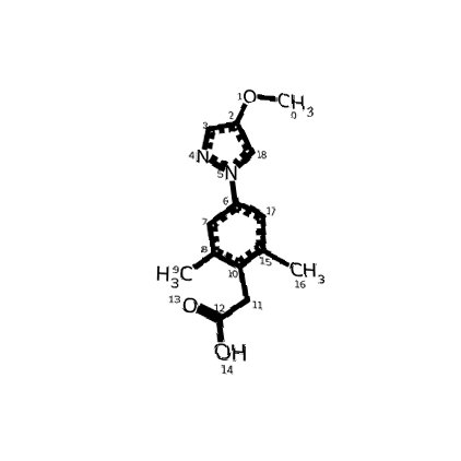 COc1cnn(-c2cc(C)c(CC(=O)O)c(C)c2)c1